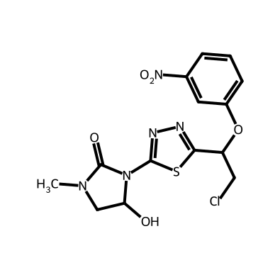 CN1CC(O)N(c2nnc(C(CCl)Oc3cccc([N+](=O)[O-])c3)s2)C1=O